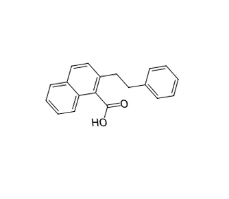 O=C(O)c1c(CCc2ccccc2)ccc2ccccc12